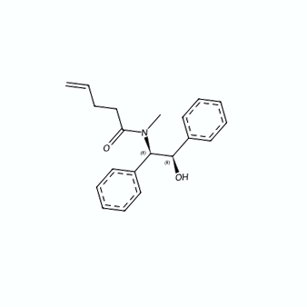 C=CCCC(=O)N(C)[C@H](c1ccccc1)[C@H](O)c1ccccc1